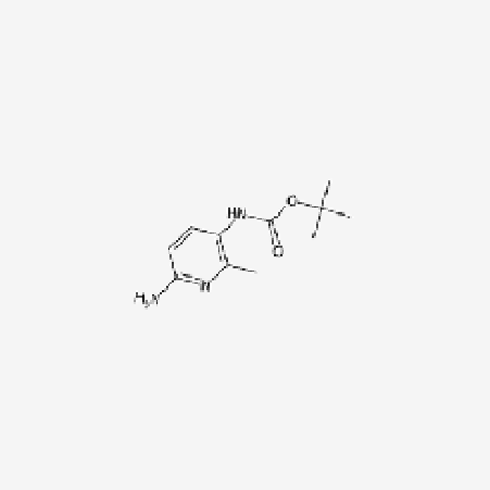 Cc1nc(N)ccc1NC(=O)OC(C)(C)C